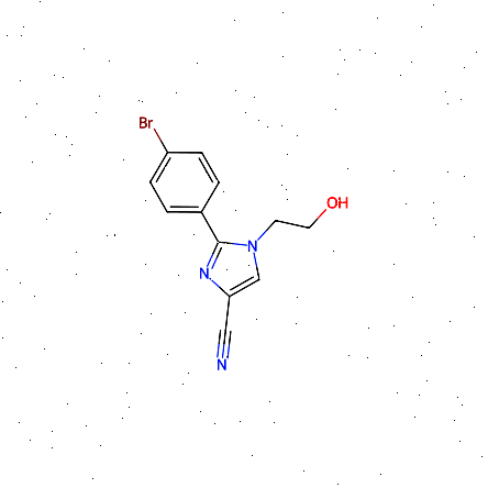 N#Cc1cn(CCO)c(-c2ccc(Br)cc2)n1